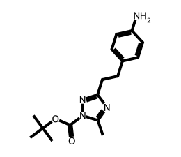 Cc1nc(CCc2ccc(N)cc2)nn1C(=O)OC(C)(C)C